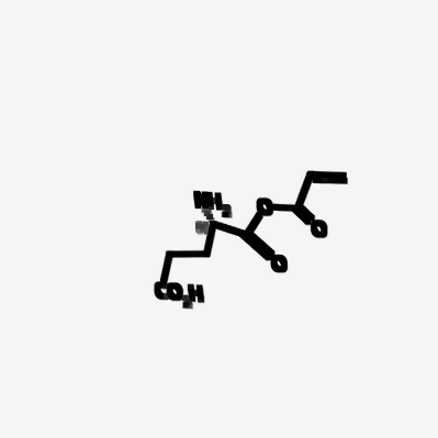 C=CC(=O)OC(=O)[C@@H](N)CCC(=O)O